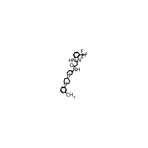 Cc1cccc(N2CCC(N3CC[C@@H](NC(=O)Cc4nc5c(C(F)(F)F)cccc5[nH]4)C3)CC2)c1